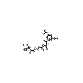 CC(C)C[C@H](CNC(=O)OC(C)OC(=O)CCOC[C@@H](C)ON(O)O)CC(=O)O